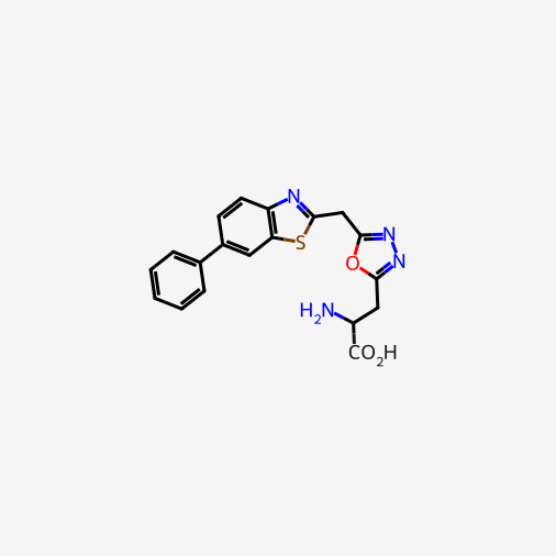 NC(Cc1nnc(Cc2nc3ccc(-c4ccccc4)cc3s2)o1)C(=O)O